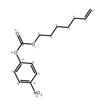 C=CCCCCCOC(=O)Oc1ccc([N+](=O)[O-])cc1